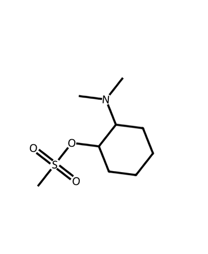 CN(C)C1CCCCC1OS(C)(=O)=O